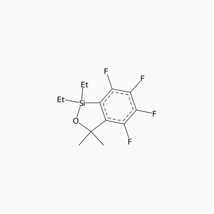 CC[Si]1(CC)OC(C)(C)c2c(F)c(F)c(F)c(F)c21